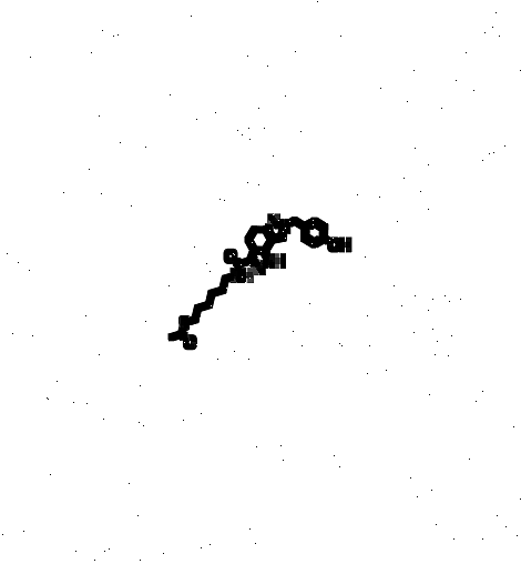 CC(=O)SCCCCCCNC(=O)c1n[nH]c2c1CCc1nn(Cc3ccc(O)cc3)cc1-2